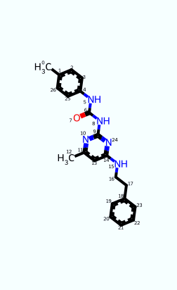 Cc1ccc(NC(=O)Nc2nc(C)cc(NCCc3ccccc3)n2)cc1